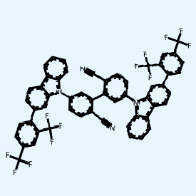 N#Cc1ccc(-n2c3ccccc3c3ccc(-c4ccc(C(F)(F)F)cc4C(F)(F)F)cc32)cc1-c1cc(-n2c3ccccc3c3ccc(-c4ccc(C(F)(F)F)cc4C(F)(F)F)cc32)ccc1C#N